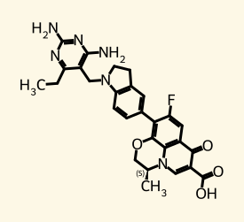 CCc1nc(N)nc(N)c1CN1CCc2cc(-c3c(F)cc4c(=O)c(C(=O)O)cn5c4c3OC[C@@H]5C)ccc21